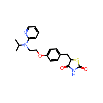 CC(C)N(CCOc1ccc(CC2SC(=O)NC2=O)cc1)c1ccccn1